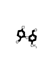 Cc1ccc(C=O)cc1.O=Cc1ccc(Cl)cc1Cl